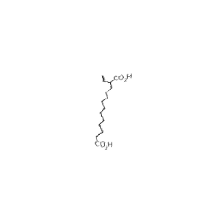 C=CC(CCCCCCCCCCC(=O)O)C(=O)O